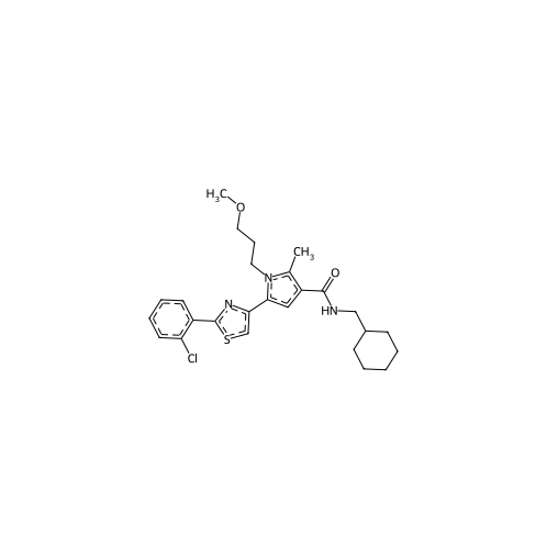 COCCCn1c(-c2csc(-c3ccccc3Cl)n2)cc(C(=O)NCC2CCCCC2)c1C